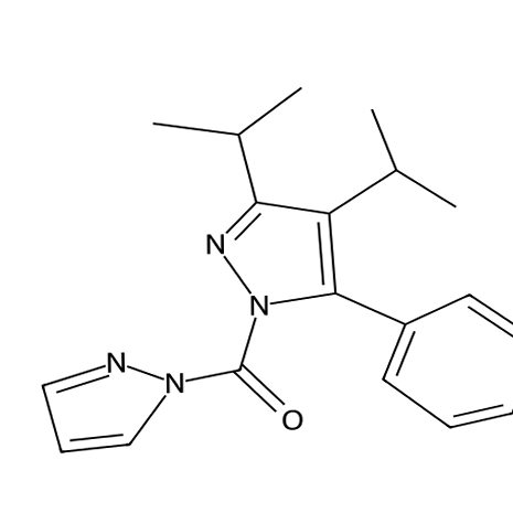 CC(C)c1nn(C(=O)n2cccn2)c(-c2ccccc2)c1C(C)C